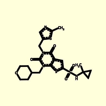 Cc1ncc(Cn2c(=O)c3cc(S(=O)(=O)NC4(C)CC4)sc3n(CC3CCOCC3)c2=O)s1